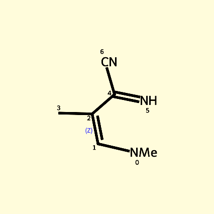 CN/C=C(/C)C(=N)C#N